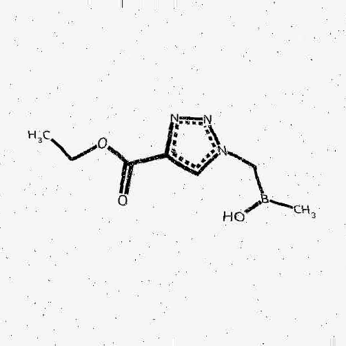 CCOC(=O)c1cn(CB(C)O)nn1